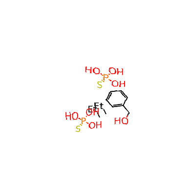 CCC.CCC.OCc1ccccc1.OP(O)(O)=S.OP(O)(O)=S